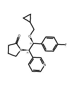 O=C1CCCN1[C@H](c1cccnc1)[C@@H](OCC1CC1)c1ccc(F)cc1